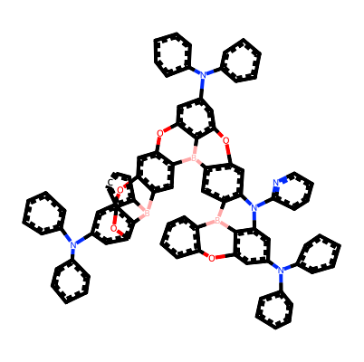 c1ccc(N(c2ccccc2)c2cc3c4c(c2)Oc2cc5c(cc2B4c2ccccc2O3)B2c3cc4c(cc3Oc3cc(N(c6ccccc6)c6ccccc6)cc(c32)O5)N(c2ccccn2)c2cc(N(c3ccccc3)c3ccccc3)cc3c2B4c2ccccc2O3)cc1